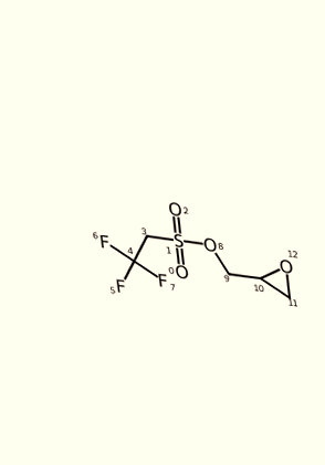 O=S(=O)(CC(F)(F)F)OCC1CO1